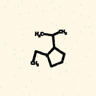 CCN1CCCC1C(C)C